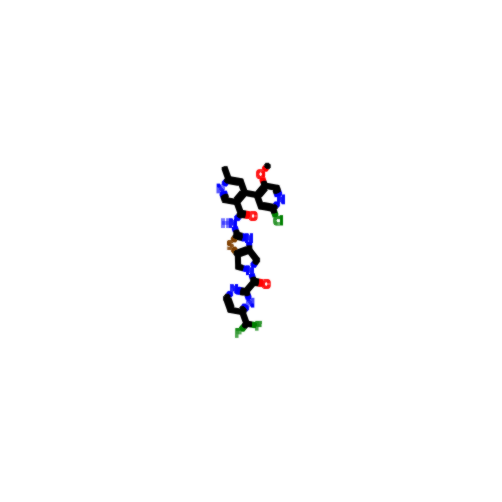 COc1cnc(Cl)cc1-c1cc(C)ncc1C(=O)Nc1nc2c(s1)CN(C(=O)c1nccc(C(F)F)n1)C2